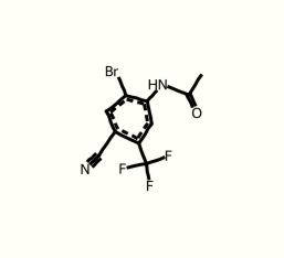 CC(=O)Nc1cc(C(F)(F)F)c(C#N)cc1Br